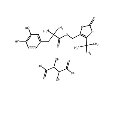 CC(N)(Cc1ccc(O)c(O)c1)C(=O)OCc1oc(=O)oc1C(C)(C)C.O=C(O)C(O)C(O)C(=O)O